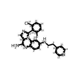 Nc1nc2ccc(NCCc3ccncc3)cc2n2c(-c3c(F)cccc3Cl)ncc12